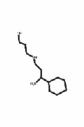 NC(CCNCCCO)C1CCCCC1